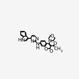 CC(=O)c1c(N2CCOCC2)c2ccc(Nc3nccc(-c4c[nH]c5ccccc45)n3)cc2oc1=O